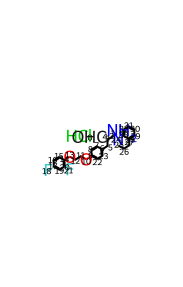 Cl.NC(C(C=O)Cc1ccc(OCCOc2ccc(F)cc2F)cc1)N1CCCc2ccccc21